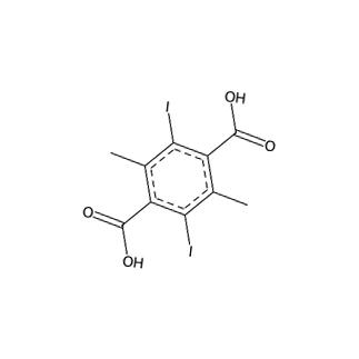 Cc1c(I)c(C(=O)O)c(C)c(I)c1C(=O)O